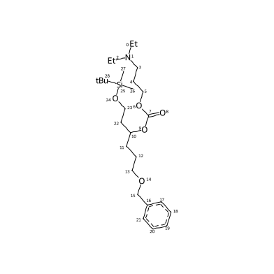 CCN(CC)CCCOC(=O)OC(CCCOCc1ccccc1)CCO[Si](C)(C)C(C)(C)C